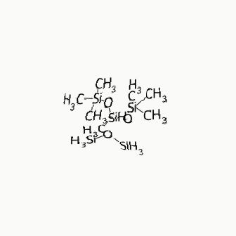 C[SiH](O[Si](C)(C)C)O[Si](C)(C)C.[SiH3]O[SiH3]